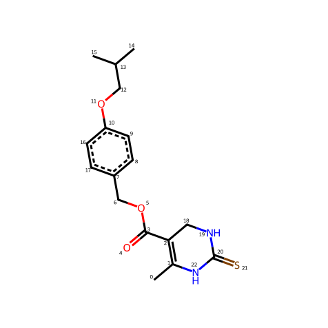 CC1=C(C(=O)OCc2ccc(OCC(C)C)cc2)CNC(=S)N1